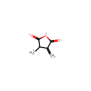 C=C1C(=O)OC(=O)C1C